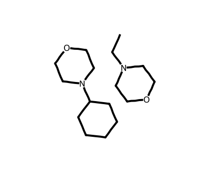 C1CCC(N2CCOCC2)CC1.CCN1CCOCC1